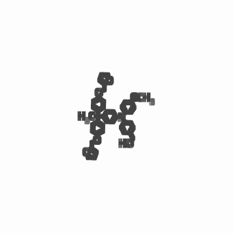 COc1ccc(N(c2ccc(CO)cc2)c2ccc(C(C)(c3ccc(OCc4ccco4)cc3)c3ccc(OCc4ccco4)cc3)cc2)cc1